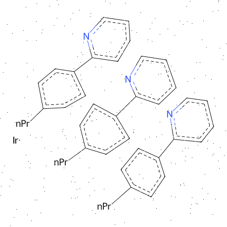 CCCc1ccc(-c2ccccn2)cc1.CCCc1ccc(-c2ccccn2)cc1.CCCc1ccc(-c2ccccn2)cc1.[Ir]